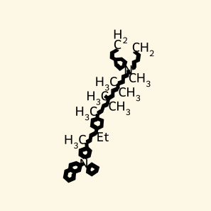 C=C/C=C\C=C\N(C1=CCC(/C=C\C=C)C=C1)/C(C)=C/C=C(C)/C(C)=C/C=C(C)/C(C)=C/C=C(\C)C1=CC=C(/C(=C/C=C(\C)c2ccc(N(c3ccccc3)c3ccc4ccccc4c3)cc2)CC)CC1